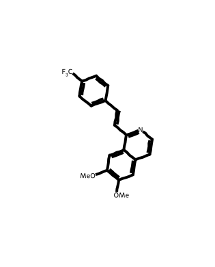 COc1cc2ccnc(C=Cc3ccc(C(F)(F)F)cc3)c2cc1OC